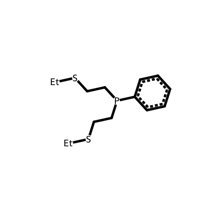 CCSCCP(CCSCC)c1ccccc1